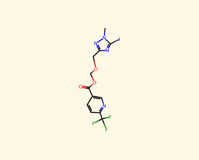 Cn1nc(COCOC(=O)c2ccc(C(F)(F)F)nc2)nc1I